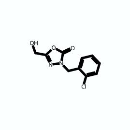 O=c1oc(CO)nn1Cc1ccccc1Cl